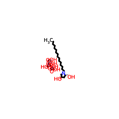 CCCCCCCCCCCCCCCCN1C[C@H](O)C[C@H]1CO.O=P(O)(O)OP(=O)(O)OP(=O)(O)O